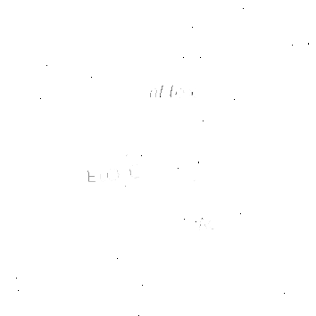 CCCCCCCC(C(C)=O)C(=O)OCC